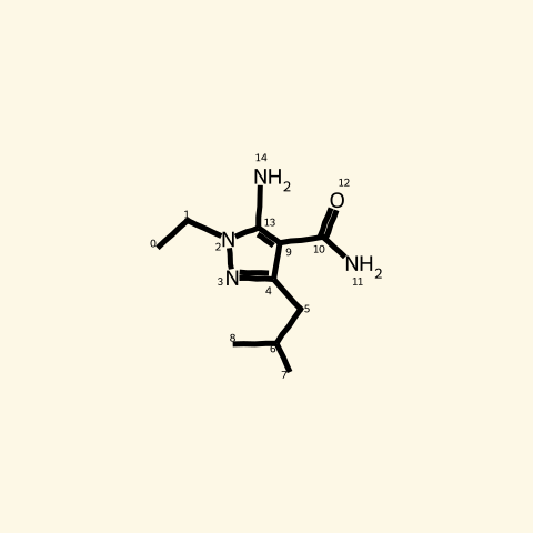 CCn1nc(CC(C)C)c(C(N)=O)c1N